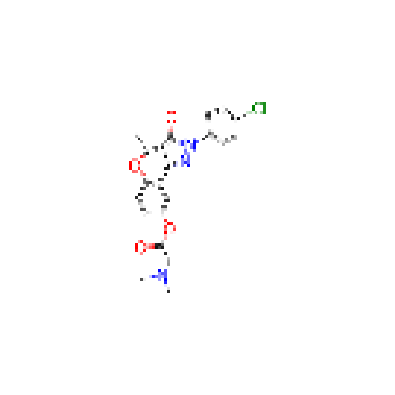 Cc1oc2ccc(OC(=O)CN(C)C)cc2c2nn(-c3ccc(Cl)cc3)c(=O)c1-2